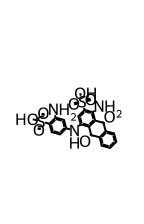 Nc1cc(Nc2cc(S(=O)(=O)O)c(N)c3c2C(=O)c2ccccc2C3=O)ccc1S(=O)(=O)O